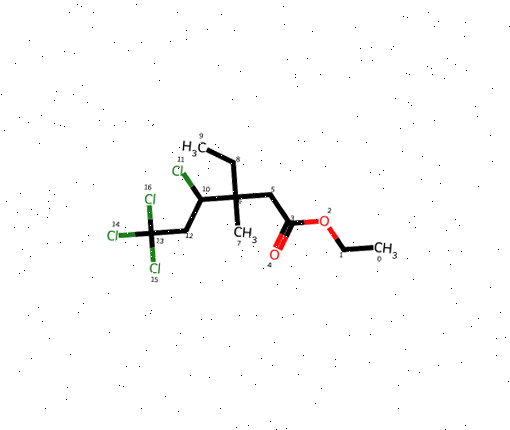 CCOC(=O)CC(C)(CC)C(Cl)CC(Cl)(Cl)Cl